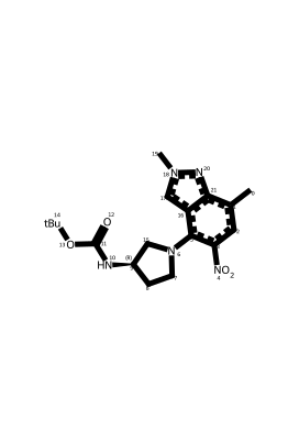 Cc1cc([N+](=O)[O-])c(N2CC[C@@H](NC(=O)OC(C)(C)C)C2)c2cn(C)nc12